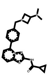 CN(C)C1CN(Cc2ccc(-c3cccc4nc(NC(=O)C5CC5)nn34)cc2)C1